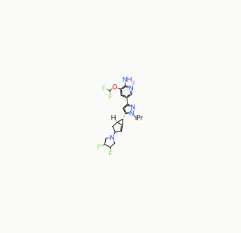 CC(C)n1nc(-c2cnc(N)c(OC(F)F)c2)cc1[C@@H]1C2=CC(N3C[C@@H](F)[C@@H](F)C3)C[C@H]21